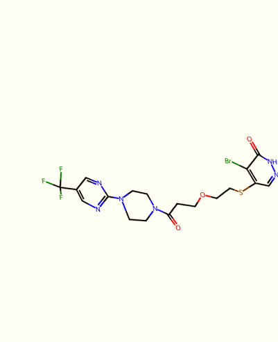 O=C(CCOCCSc1cn[nH]c(=O)c1Br)N1CCN(c2ncc(C(F)(F)F)cn2)CC1